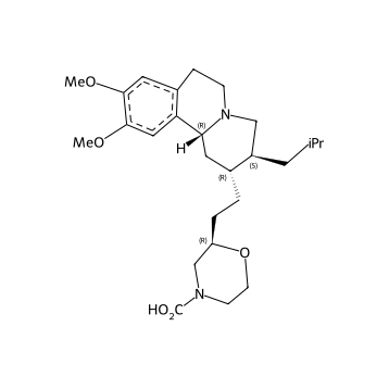 COc1cc2c(cc1OC)[C@H]1C[C@@H](CC[C@@H]3CN(C(=O)O)CCO3)[C@H](CC(C)C)CN1CC2